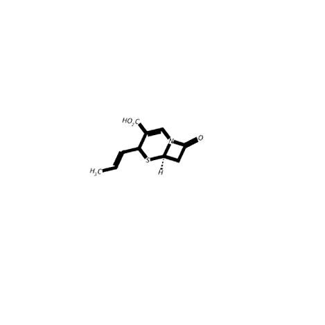 CC=CC1S[C@@H]2CC(=O)N2C=C1C(=O)O